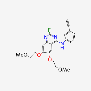 C#Cc1cccc(Nc2nc(F)nc3cc(OCCOC)c(OCCOC)cc23)c1